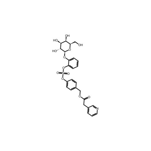 O=C(Cc1cccnc1)OCc1ccc(OS(=O)(=O)Oc2ccccc2O[C@@H]2O[C@H](CO)[C@H](O)[C@H](O)[C@H]2O)cc1